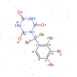 O=c1[nH]c(=O)n(C(Br)(Br)c2ccc(Br)c(Br)c2Br)c(=O)[nH]1